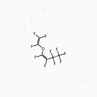 FC(F)=C(F)O/C(F)=C(/F)C(F)(F)C(F)(F)F